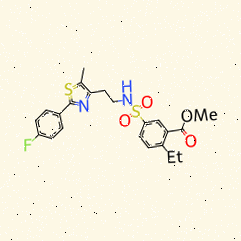 CCc1ccc(S(=O)(=O)NCCc2nc(-c3ccc(F)cc3)sc2C)cc1C(=O)OC